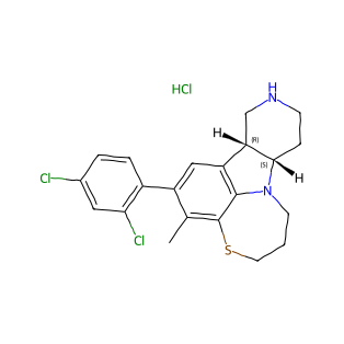 Cc1c(-c2ccc(Cl)cc2Cl)cc2c3c1SCCCN3[C@H]1CCNC[C@@H]21.Cl